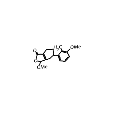 COc1cccc(C2CCC3=C(C2)C(OC)OC3=O)c1C